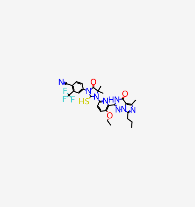 CCCc1nc(C)c2c(=O)[nH]c(-c3nc(N4C(S)N(c5ccc(C#N)c(C(F)(F)F)c5)C(=O)C4(C)C)ccc3OCC)nn12